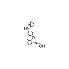 OCC#Cc1cccnc1Oc1ccc(Nc2ccccn2)cc1